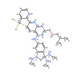 CNN1CC(NC)(NC)c2ccc(Nc3nc(COCC(C)C)nc4nc(-c5ncccc5C(F)(F)F)ccc34)cc21